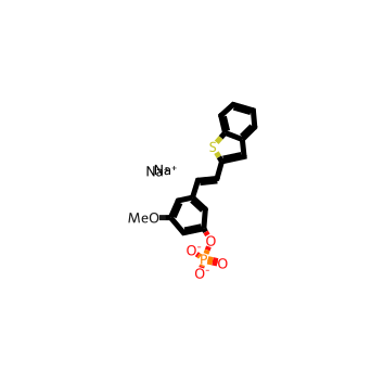 COc1cc(/C=C/c2cc3ccccc3s2)cc(OP(=O)([O-])[O-])c1.[Na+].[Na+]